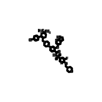 CC1(C)CCC(CN2CCN(c3ccc(C(=O)NS(=O)(=O)c4cnc(OCC5CCOCC5)c(F)c4)c(Oc4cnc5[nH]ccc5c4)c3)CC2)=C(c2ccc(Cl)cc2)C1